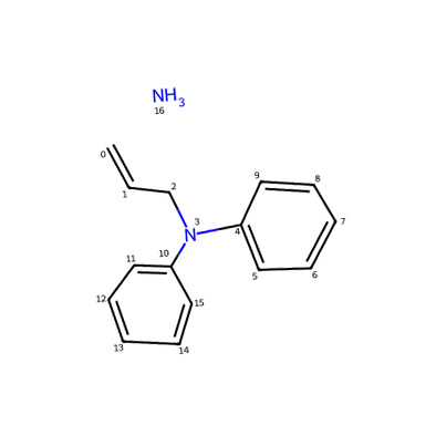 C=CCN(c1ccccc1)c1ccccc1.N